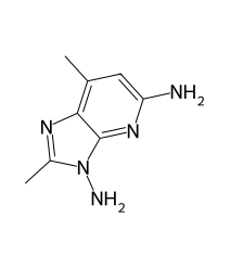 Cc1cc(N)nc2c1nc(C)n2N